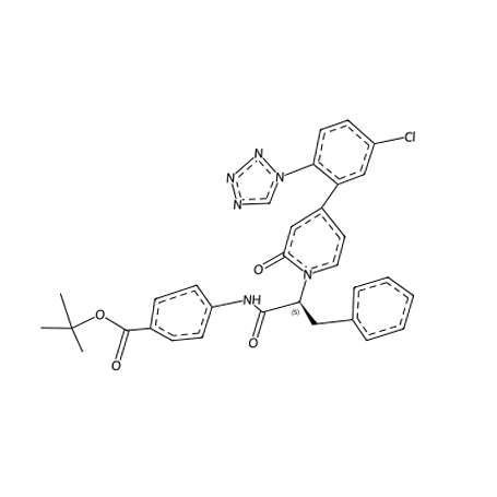 CC(C)(C)OC(=O)c1ccc(NC(=O)[C@H](Cc2ccccc2)n2ccc(-c3cc(Cl)ccc3-n3cnnn3)cc2=O)cc1